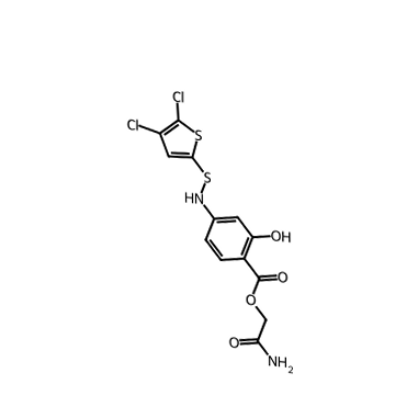 NC(=O)COC(=O)c1ccc(NSc2cc(Cl)c(Cl)s2)cc1O